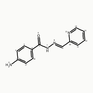 Nc1ccc(C(=O)N/N=C/c2ccccn2)cc1